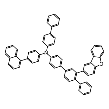 c1ccc(-c2ccc(N(c3ccc(-c4ccc(-c5ccccc5)c(-c5ccc6oc7ccccc7c6c5)c4)cc3)c3ccc(-c4cccc5ccccc45)cc3)cc2)cc1